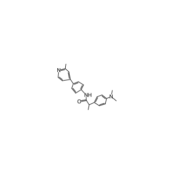 Cc1cc(-c2ccc(NC(=O)C(C)c3ccc(N(C)C)cc3)cc2)ccn1